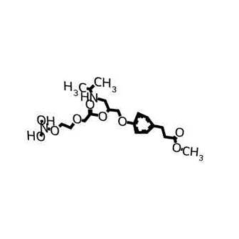 COC(=O)CCc1ccc(OCC(CNC(C)C)OC(=O)COCCON(O)O)cc1